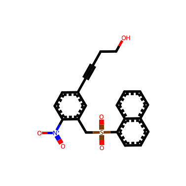 O=[N+]([O-])c1ccc(C#CCCO)cc1CS(=O)(=O)c1cccc2ccccc12